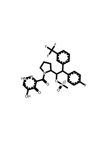 CS(=O)(=O)OC(C(c1ccc(F)cc1)c1cccc(C(F)(F)F)c1)C1CCCN1C(=O)c1n[nH]cc(O)c1=O